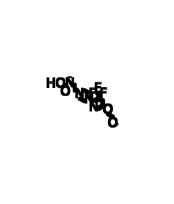 COCCOc1cnc(N2CCN(CCN(C)C(=O)O)CC2)c(C(F)(F)F)c1